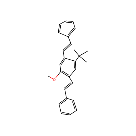 COc1cc(C=Cc2ccccc2)c(C(C)(C)C)cc1C=Cc1ccccc1